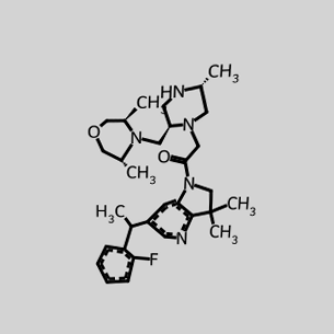 CC(c1cnc2c(c1)N(C(=O)CN1C[C@@H](C)NC[C@@H]1CN1[C@H](C)COC[C@H]1C)CC2(C)C)c1ccccc1F